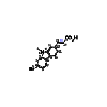 Cn1c2cc(Br)ccc2c2ccc(/C=C/C(=O)O)cc21